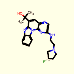 CC(C)(O)c1cc2ncc(NCCN3CC[C@H](F)C3)nc2n2c1nc1ccccc12